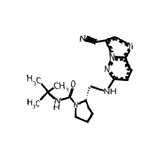 CC(C)(C)NC(=O)N1CCC[C@H]1CNc1ccc2ncc(C#N)n2n1